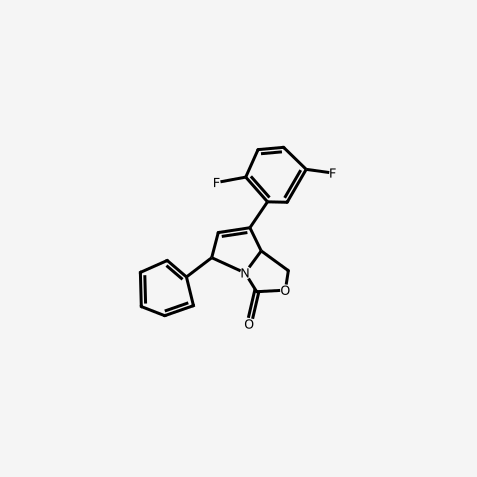 O=C1OCC2C(c3cc(F)ccc3F)=CC(c3ccccc3)N12